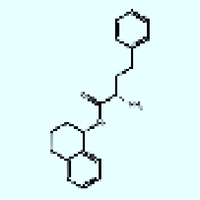 N[C@@H](CCc1ccccc1)C(=O)N[C@@H]1CCCc2ccccc21